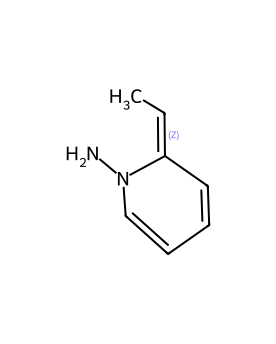 C/C=C1/C=CC=CN1N